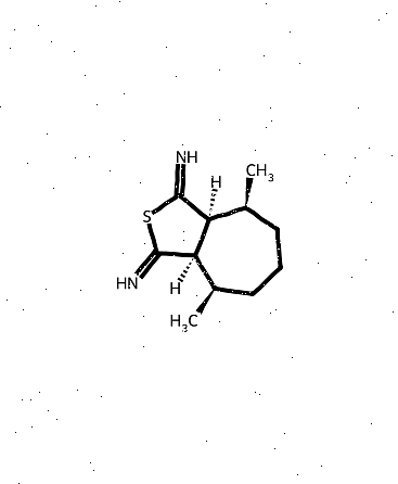 C[C@@H]1CCC[C@H](C)[C@@H]2C(=N)SC(=N)[C@@H]21